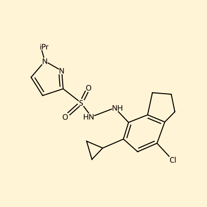 CC(C)n1ccc(S(=O)(=O)NNc2c(C3CC3)cc(Cl)c3c2CCC3)n1